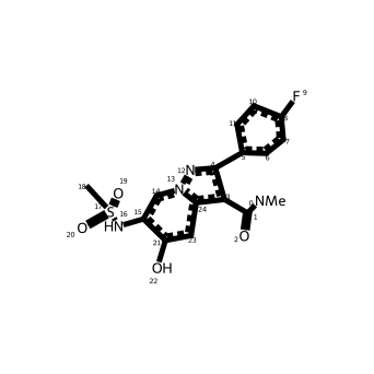 CNC(=O)c1c(-c2ccc(F)cc2)nn2cc(NS(C)(=O)=O)c(O)cc12